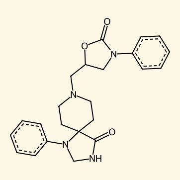 O=C1OC(CN2CCC3(CC2)C(=O)NCN3c2ccccc2)CN1c1ccccc1